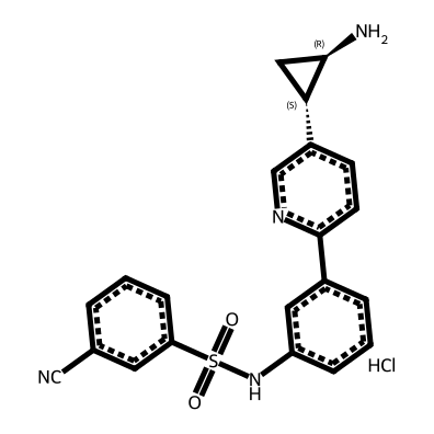 Cl.N#Cc1cccc(S(=O)(=O)Nc2cccc(-c3ccc([C@@H]4C[C@H]4N)cn3)c2)c1